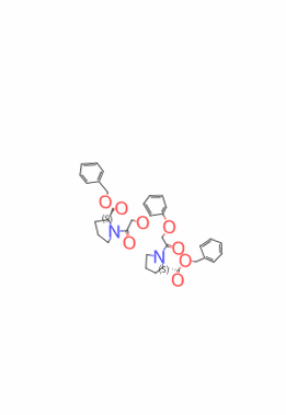 O=C(OCc1ccccc1)[C@@H]1CCCN1C(=O)COc1ccccc1OCC(=O)N1CCC[C@H]1C(=O)OCc1ccccc1